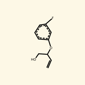 C=CC(CO)Oc1cccc(F)c1